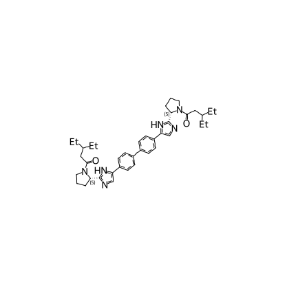 CCC(CC)CC(=O)N1CCC[C@H]1c1ncc(-c2ccc(-c3ccc(-c4cnc([C@@H]5CCCN5C(=O)CC(CC)CC)[nH]4)cc3)cc2)[nH]1